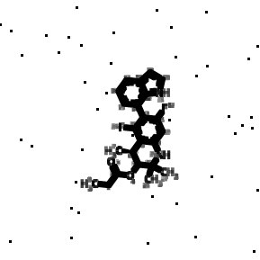 CCC(=O)OC1[C@@H](C)c2c(cc(F)c(-c3cccc4cc[nH]c34)c2F)NC1(C)C